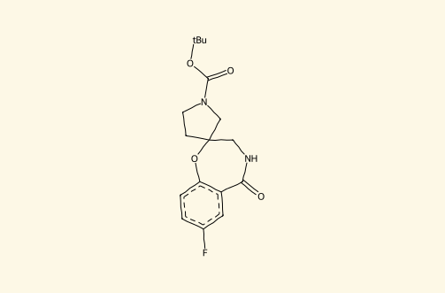 CC(C)(C)OC(=O)N1CCC2(CNC(=O)c3cc(F)ccc3O2)C1